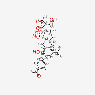 C=C1C2=C(O)[C@@]3(O)C(=O)C(C(C)=O)=C(O)C[C@@]3(C)C[C@@]2(C)Cc2c(C(C)C)cc(-c3ccc(C(C)=O)cc3)c(O)c21